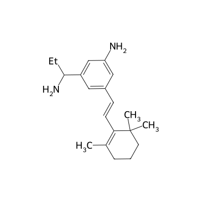 CCC(N)c1cc(N)cc(/C=C/C2=C(C)CCCC2(C)C)c1